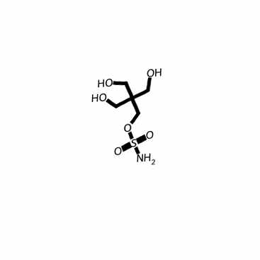 NS(=O)(=O)OCC(CO)(CO)CO